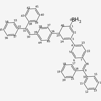 BC1=CC(c2ccc(C=C(c3ccccc3)c3ccccc3)cc2)=CC(c2ccc(C=C(c3ccccc3)c3ccccc3)cc2)C1